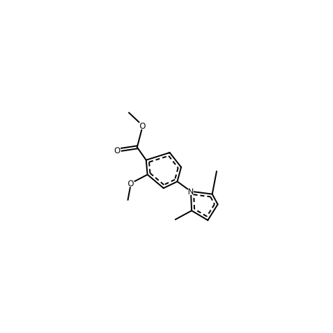 COC(=O)c1ccc(-n2c(C)ccc2C)cc1OC